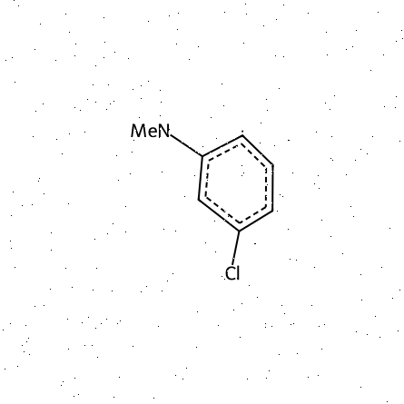 CNc1[c]ccc(Cl)c1